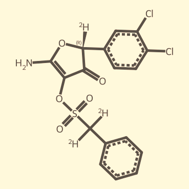 [2H]C([2H])(c1ccccc1)S(=O)(=O)OC1=C(N)O[C@]([2H])(c2ccc(Cl)c(Cl)c2)C1=O